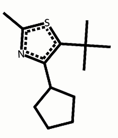 Cc1nc(C2CCCC2)c(C(C)(C)C)s1